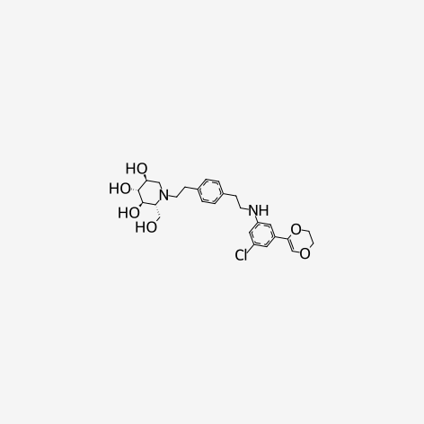 OC[C@@H]1[C@@H](O)[C@H](O)[C@@H](O)CN1CCc1ccc(CCNc2cc(Cl)cc(C3=COCCO3)c2)cc1